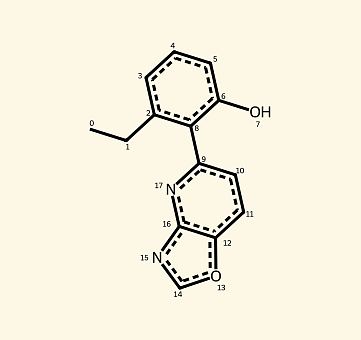 CCc1cccc(O)c1-c1ccc2ocnc2n1